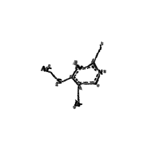 N#CSc1nc(I)ncc1Br